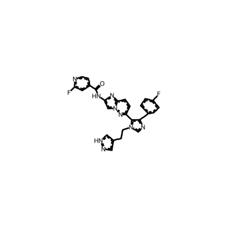 O=C(Nc1cn2nc(-c3c(-c4ccc(F)cc4)ncn3CCc3cn[nH]c3)ccc2n1)c1ccnc(F)c1